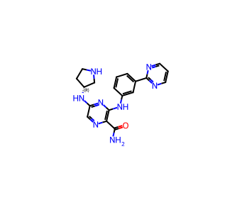 NC(=O)c1ncc(N[C@@H]2CCNC2)nc1Nc1cccc(-c2ncccn2)c1